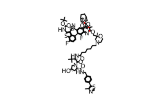 Cc1ncsc1-c1ccc(CNC(=O)[C@@H]2C[C@@H](O)CN2C(=O)[C@@H](NC(=O)CCCCCCN2CCO[C@@](C)(COc3nc(N4CC5CCC(C4)N5C(=O)OC(C)(C)C)c4cc(Cl)c(-c5ccc(F)c6sc(NC(=O)OC(C)(C)C)c(C#N)c56)c(F)c4n3)C2)C(C)(C)C)cc1